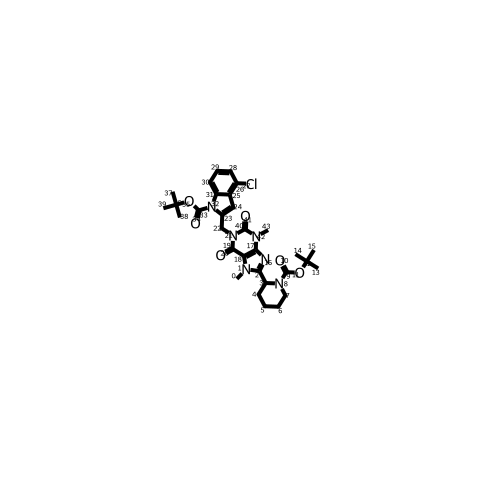 Cn1c(C2CCCCN2C(=O)OC(C)(C)C)nc2c1c(=O)n(Cc1cc3c(Cl)cccc3n1C(=O)OC(C)(C)C)c(=O)n2C